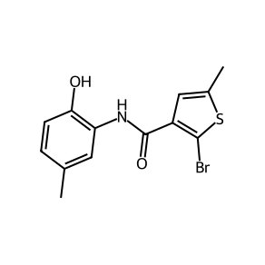 Cc1ccc(O)c(NC(=O)c2cc(C)sc2Br)c1